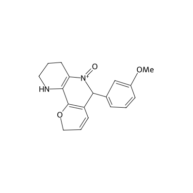 COc1cccc(C2C3=C(OCC=C3)C3=C(CCCN3)[N+]2=O)c1